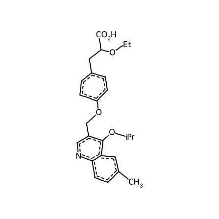 CCOC(Cc1ccc(OCc2cnc3ccc(C)cc3c2OC(C)C)cc1)C(=O)O